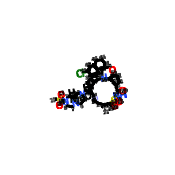 CO[C@@]1(CN2CCN3CCN(S(C)(=O)=O)C[C@@H]3C2)/C=C/C[C@@H](C)[C@@H](C)S(=O)(=O)NC(=O)c2ccc3c(c2)N(C[C@@H]2CC[C@H]21)C[C@@]1(CCCc2cc(Cl)ccc21)CO3